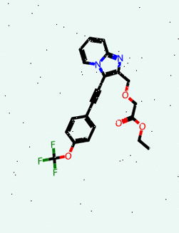 CCOC(=O)COCc1nc2ccccn2c1C#Cc1ccc(OC(F)(F)F)cc1